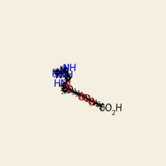 C[C@@H](NC(=O)c1cccc(NCC(=N)N(C)C(=N)c2ccncn2)c1)c1cccc(OCCCCCCOCCOCCOCCCCCC(=O)O)c1